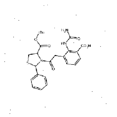 CC(C)(C)OC(=O)C1CSC(c2ccccc2)N1C(=O)Cc1cccc(C(=O)O)c1NC(N)=O